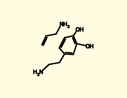 C=CCN.NCCc1ccc(O)c(O)c1